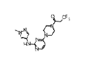 Cn1cc(Nc2nccc(N3CCN(C(=O)CC(F)(F)F)CC3)n2)cn1